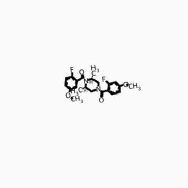 COc1ccc(C(=O)N2C[C@@H](C)N(C(=O)c3cc(OC)ccc3F)[C@H](C)C2)c(F)c1